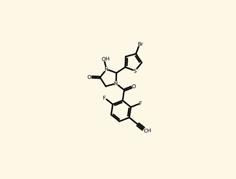 C#Cc1ccc(F)c(C(=O)N2CC(=O)N(O)C2c2cc(Br)cs2)c1F